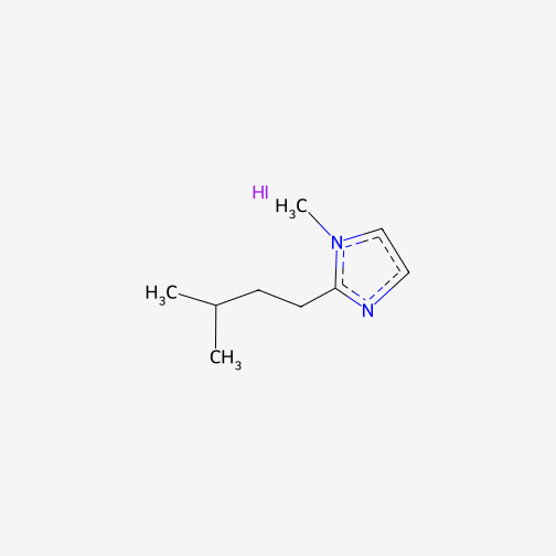 CC(C)CCc1nccn1C.I